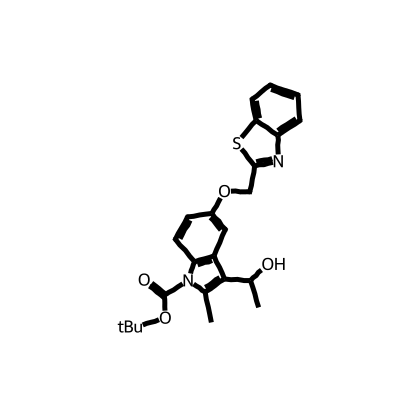 Cc1c(C(C)O)c2cc(OCc3nc4ccccc4s3)ccc2n1C(=O)OC(C)(C)C